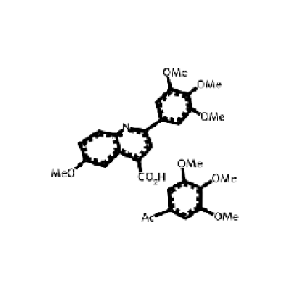 COc1cc(C(C)=O)cc(OC)c1OC.COc1ccc2nc(-c3cc(OC)c(OC)c(OC)c3)cc(C(=O)O)c2c1